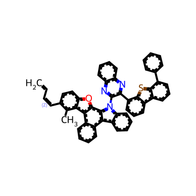 C=C/C=C\c1ccc2oc3c(c4ccccc4c4c5ccccc5n(-c5nc6ccccc6nc5-c5cccc6c5sc5c(-c7ccccc7)cccc56)c34)c2c1C